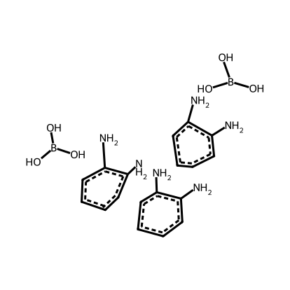 Nc1ccccc1N.Nc1ccccc1N.Nc1ccccc1N.OB(O)O.OB(O)O